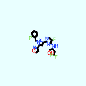 OCC(CC(F)F)Nc1nc(-c2cc(-c3ccon3)n(Cc3ccccc3F)n2)ncc1F